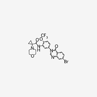 O=C(Nc1cc(-n2cnc3cc(Br)ccc3c2=O)ccc1OC(F)(F)F)C1(N2CCOCC2)CC1